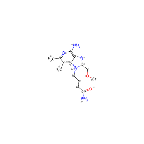 CCOCc1nc2c(N)nc(C)c(C)c2n1CCCC(N)=O